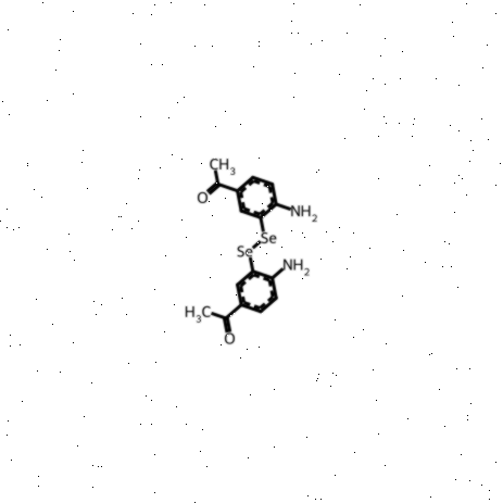 CC(=O)c1ccc(N)c([Se][Se]c2cc(C(C)=O)ccc2N)c1